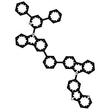 c1ccc(-c2cc(-c3ccccc3)nc(-n3c4ccccc4c4cc(-c5cccc(-c6ccc7c8ccccc8n(-c8ccc9oc%10cccnc%10c9c8)c7c6)c5)ccc43)c2)cc1